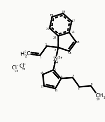 C=CC[C]1([Zr+2][C]2=C(CCCC)C=CC2)C=Cc2ccccc21.[Cl-].[Cl-]